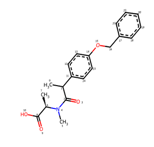 CC(C(=O)N(C)[C@H](C)C(=O)O)c1ccc(OCc2ccccc2)cc1